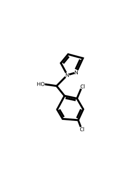 OC(c1ccc(Cl)cc1Cl)n1cccn1